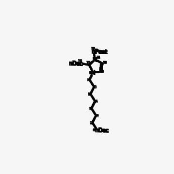 CCCCCCCCCCCCCCCCCN1C=CN(CCCCC)C1CCCCCCCCCC